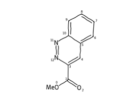 COC(=O)c1cc2ccccc2nn1